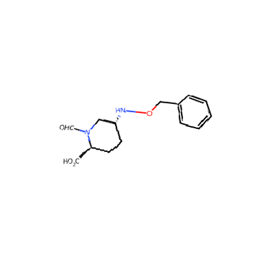 O=CN1C[C@H](NOCc2ccccc2)CC[C@H]1C(=O)O